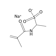 C=C(C)C(=O)NC(C)S(=O)(=O)[O-].[Na+]